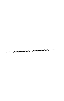 CCCCCCCCCCCCCCCCCCCCCCCOC(=O)CCCCCCCCCCCCCCCCCCCCCC